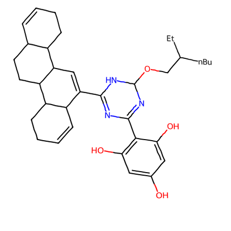 CCCCC(CC)COC1N=C(c2c(O)cc(O)cc2O)N=C(C2=CC3C4CCC=CC4CCC3C3CCC=CC23)N1